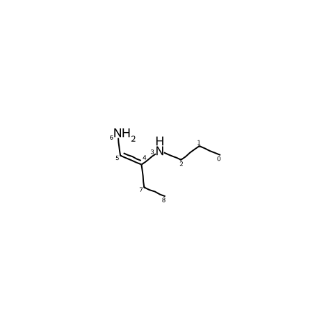 CCCN/C(=C\N)CC